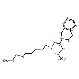 CCCCCCCCCCCCCCCCCCOCC(COS(=O)(=O)O)N1CCc2ccccc2C1